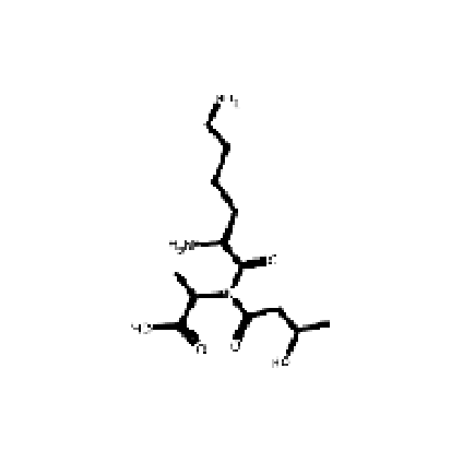 CC(O)CC(=O)N(C(=O)C(N)CCCCN)C(C)C(=O)O